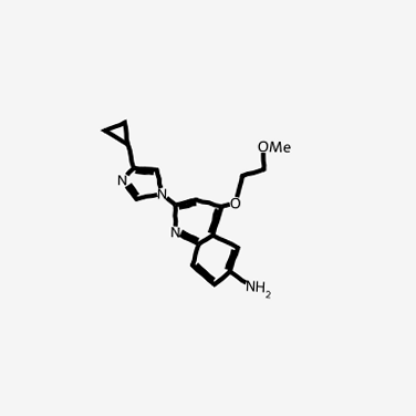 COCCOc1cc(-n2cnc(C3CC3)c2)nc2ccc(N)cc12